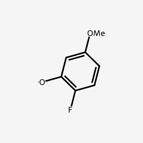 COc1ccc(F)c([O])c1